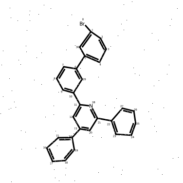 Brc1cccc(-c2cccc(-c3cc(-c4ccccc4)cc(-c4ccccc4)n3)c2)c1